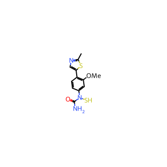 COc1cc(N(S)C(N)=O)ccc1-c1cnc(C)s1